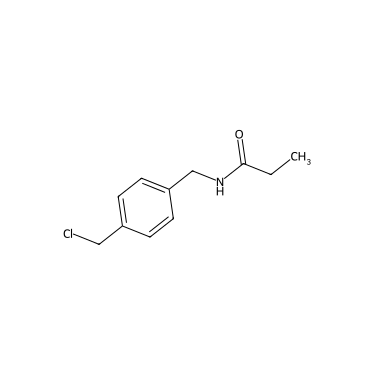 CCC(=O)NCc1ccc(CCl)cc1